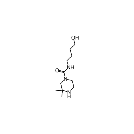 CC1(C)CN(C(=O)NCCCCO)CCN1